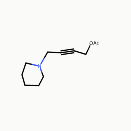 CC(=O)OCC#CCN1CCCCC1